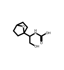 O=C(O)NC(CO)C12CCC(CC1)O2